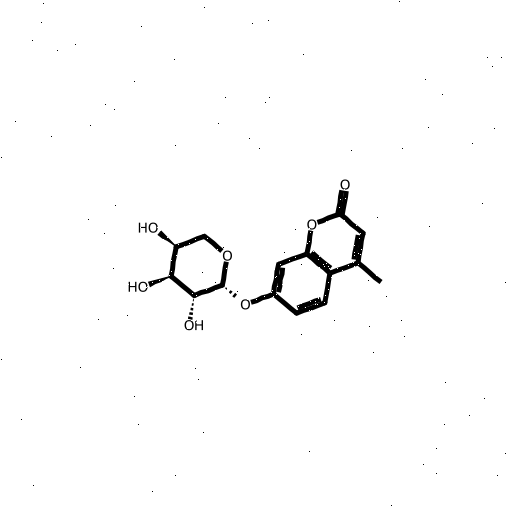 Cc1cc(=O)oc2cc(O[C@H]3OC[C@H](O)[C@H](O)[C@H]3O)ccc12